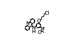 CC(=O)N(C)c1cc(Nc2c3ccccc3nc3ccccc23)cc(OCCCCCl)c1